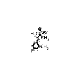 Cc1cc(F)ccc1OCC(C)(C)[N+](=O)[O-]